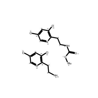 CC(C)(C)OC(=O)NCCc1ncc(Cl)cc1Cl.NCCc1ncc(Cl)cc1Cl